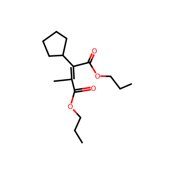 CCCOC(=O)/C(C)=C(\C(=O)OCCC)C1CCCC1